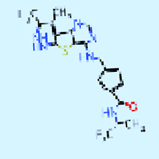 CC(=N)/C(C)=C1\C(=N)Sc2c(NCc3ccc(C(=O)N[C@H](C)C(F)(F)F)cc3)ncnc21